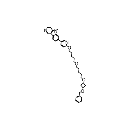 Cn1c2ccncc2c2ccc(-c3ccc(OCCCCCOCCCCCO[C@H]4C[C@@H](OCc5ccccc5)C4)nc3)cc21